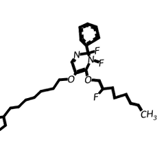 CCCCCCC(F)COC1=C(OCCCCCCCC2CCCC2)C=NC(F)(c2ccccc2)N1F